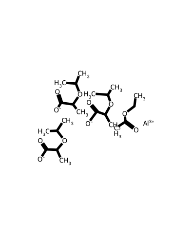 CC(C)OC(C)C(=O)[O-].CC(C)OC(C)C(=O)[O-].CC(C)OC(C)C(=O)[O-].CCOC(C)=O.[Al+3]